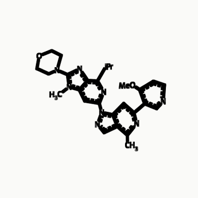 COc1ccncc1-c1cc2c(cnn2-c2cc3c(nc(N4CCOCC4)n3C)c(C(C)C)n2)c(C)n1